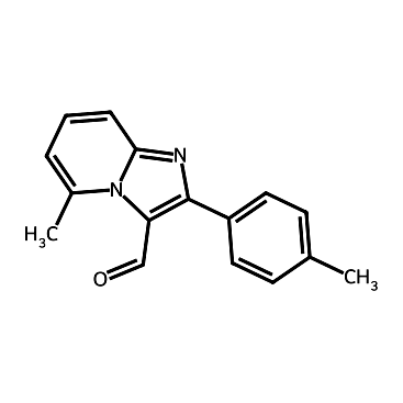 Cc1ccc(-c2nc3cccc(C)n3c2C=O)cc1